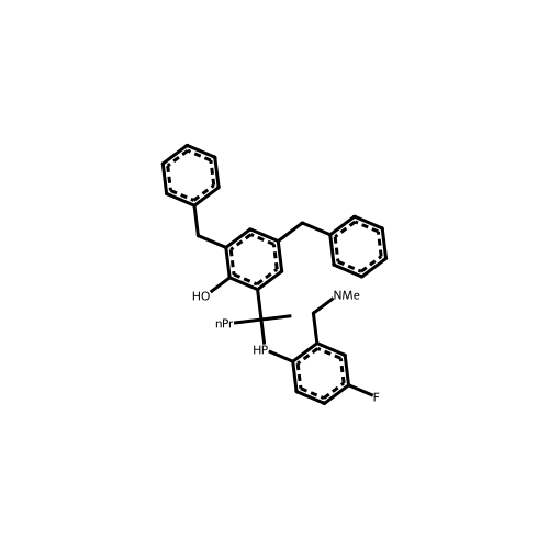 CCCC(C)(Pc1ccc(F)cc1CNC)c1cc(Cc2ccccc2)cc(Cc2ccccc2)c1O